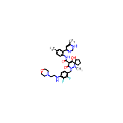 CN1N(Cc2ccc(NCCN3CCOCC3)c(F)c2F)C(=O)C(C(=O)Nc2ccc(C(F)(F)F)cc2C2=NCNC(C(F)(F)F)=C2)=C(O)C12CCCC2